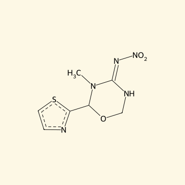 CN1C(=N[N+](=O)[O-])NCOC1c1nccs1